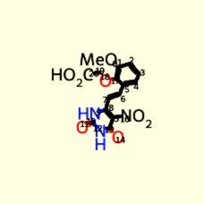 COc1cccc(C=Cc2[nH]c(=O)[nH]c(=O)c2[N+](=O)[O-])c1OCC(=O)O